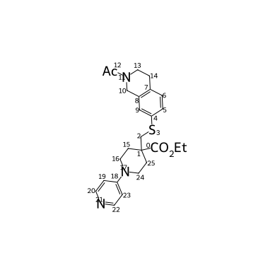 CCOC(=O)C1(CSc2ccc3c(c2)CN(C(C)=O)CC3)CCN(c2ccncc2)CC1